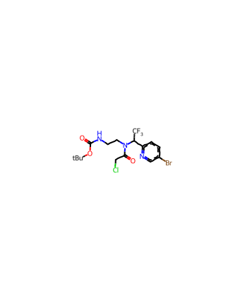 CC(C)(C)OC(=O)NCCN(C(=O)CCl)C(c1ccc(Br)cn1)C(F)(F)F